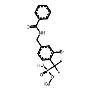 CCC(C)OP(=O)(O)C(F)(F)c1ccc(CNC(=O)c2ccccc2)cc1Br